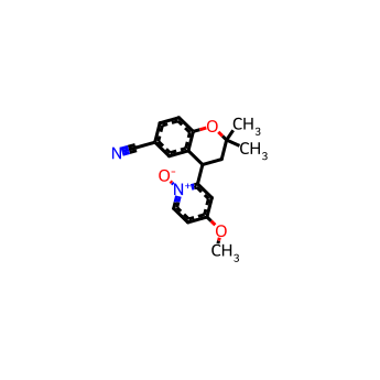 COc1cc[n+]([O-])c(C2CC(C)(C)Oc3ccc(C#N)cc32)c1